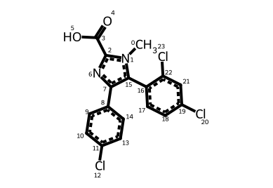 Cn1c(C(=O)O)nc(-c2ccc(Cl)cc2)c1-c1ccc(Cl)cc1Cl